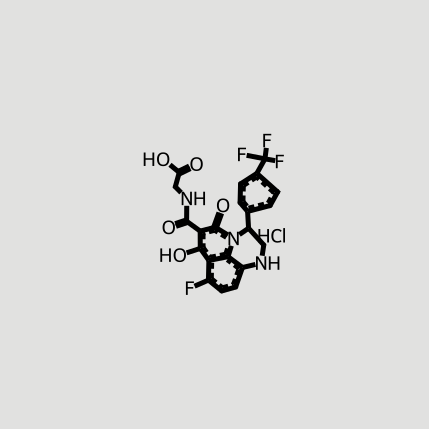 Cl.O=C(O)CNC(=O)c1c(O)c2c(F)ccc3c2n(c1=O)C(c1ccc(C(F)(F)F)cc1)CN3